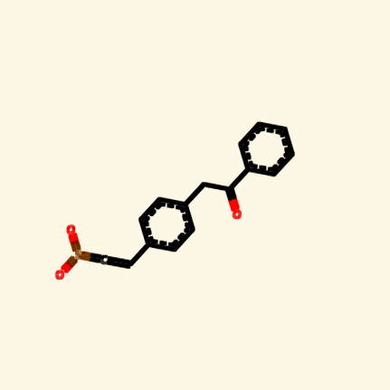 O=C(Cc1ccc(C=C=S(=O)=O)cc1)c1ccccc1